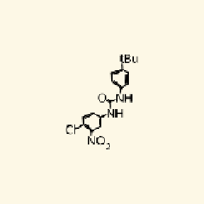 CC(C)(C)c1ccc(NC(=O)Nc2ccc(Cl)c([N+](=O)[O-])c2)cc1